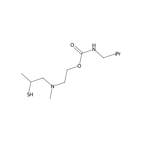 CC(C)CNC(=O)OCCN(C)CC(C)S